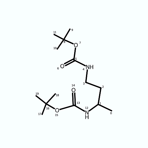 CC(CCNC(=O)OC(C)(C)C)NC(=O)OC(C)(C)C